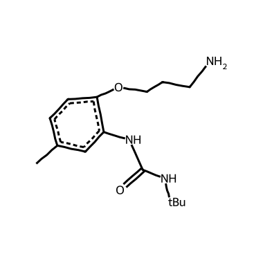 Cc1ccc(OCCCN)c(NC(=O)NC(C)(C)C)c1